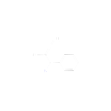 C=C=C(C(C)C)C(N)c1ccccc1